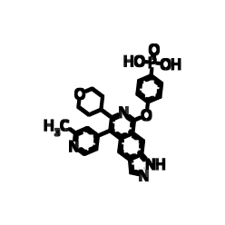 Cc1cc(-c2c(C3CCOCC3)nc(Oc3ccc(P(=O)(O)O)cc3)c3cc4[nH]ncc4cc23)ccn1